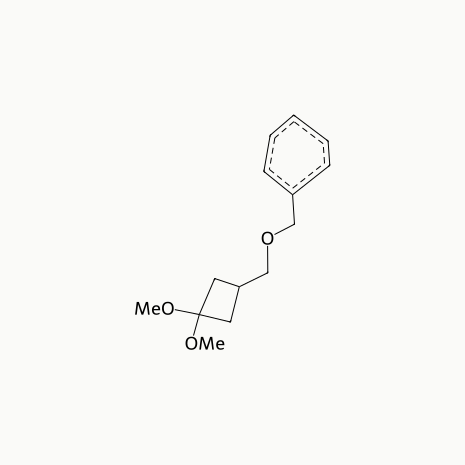 COC1(OC)CC(COCc2ccccc2)C1